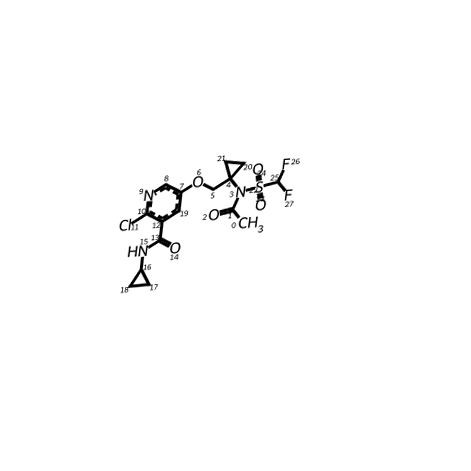 CC(=O)N(C1(COc2cnc(Cl)c(C(=O)NC3CC3)c2)CC1)S(=O)(=O)C(F)F